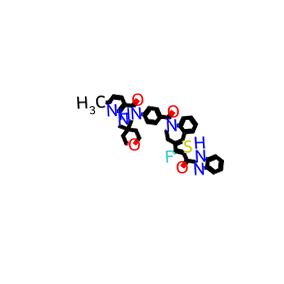 Cc1ccc(C(=O)Nc2ccc(C(=O)N3CCc4c(sc(C(=O)c5nc6ccccc6[nH]5)c4F)-c4ccccc43)cc2)c(N2CC3(CCOCC3)C2)n1